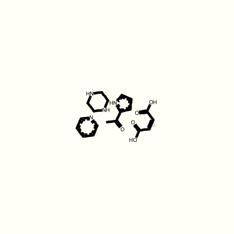 C1CNCCN1.CC(=O)c1ccc[nH]1.O=C(O)/C=C\C(=O)O.c1ccncc1